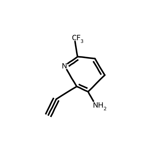 C#Cc1nc(C(F)(F)F)ccc1N